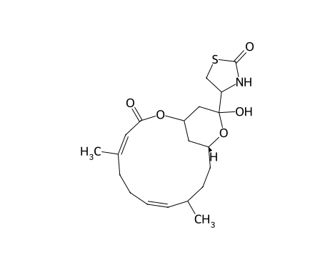 C/C1=C/C(=O)OC2C[C@@H](CCC(C)/C=C\CC1)OC(O)(C1CSC(=O)N1)C2